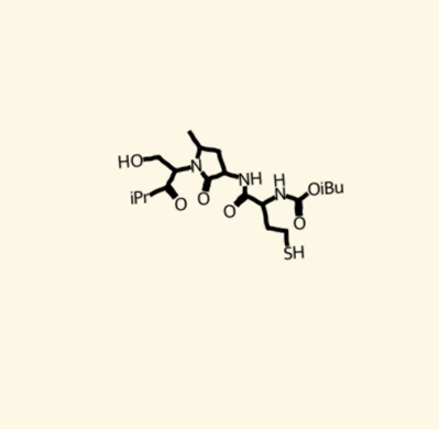 CC(C)COC(=O)NC(CCS)C(=O)NC1CC(C)N(C(CO)C(=O)C(C)C)C1=O